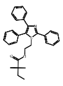 CCC(C)(C)C(=O)OCCn1c(-c2ccccc2)nc(-c2ccccc2)c1-c1ccccc1